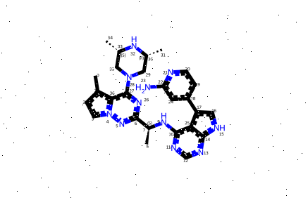 Cc1ccn2nc([C@H](C)Nc3ncnc4[nH]cc(-c5ccnc(N)c5)c34)nc(N3C[C@@H](C)N[C@@H](C)C3)c12